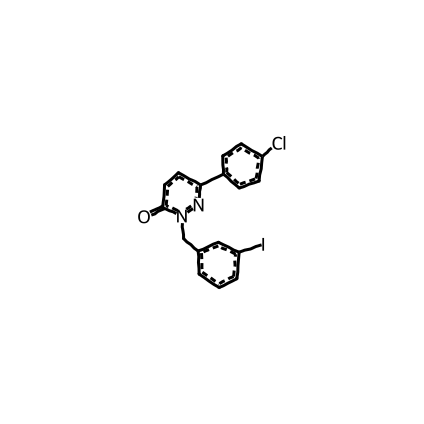 O=c1ccc(-c2ccc(Cl)cc2)nn1Cc1cccc(I)c1